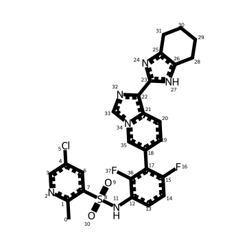 Cc1ncc(Cl)cc1S(=O)(=O)Nc1ccc(F)c(-c2ccc3c(-c4nc5c([nH]4)CCCC5)ncn3c2)c1F